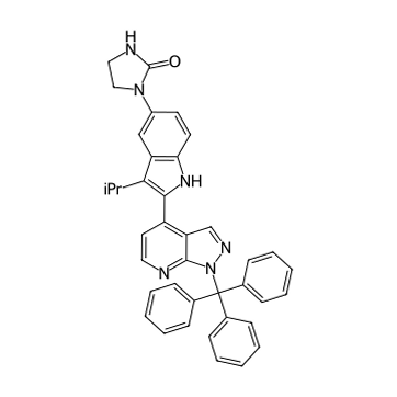 CC(C)c1c(-c2ccnc3c2cnn3C(c2ccccc2)(c2ccccc2)c2ccccc2)[nH]c2ccc(N3CCNC3=O)cc12